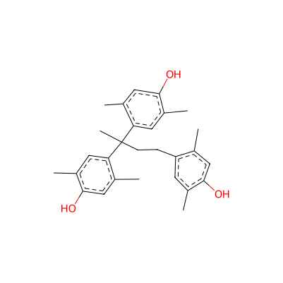 Cc1cc(CCC(C)(c2cc(C)c(O)cc2C)c2cc(C)c(O)cc2C)c(C)cc1O